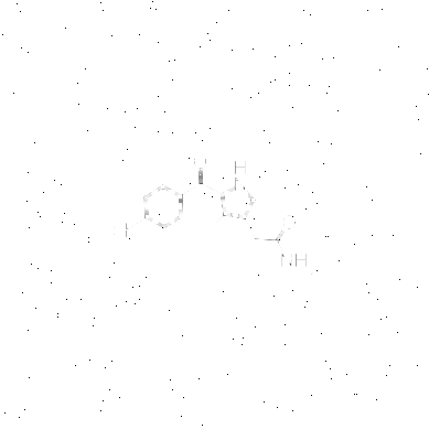 Cc1c(CC(N)=O)c[nH]c1C(=O)c1ccc(Cl)cc1